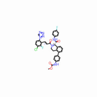 COC(=O)Nc1ccc(-c2cccc3c2CCN(C(=O)/C=C/c2c(-n4cnnn4)ccc(Cl)c2F)[C@@H]3C(=O)Nc2ccc(F)cc2)cc1